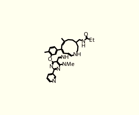 CCC(=O)NCC1CCN/C=C/C=C(c2ccc(C)c(Oc3nc(-c4cccnc4)nc(NC)c3C=N)c2)\C=C(\C)CC1